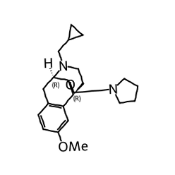 COc1ccc2c(c1)[C@]13CCN(CC4CC4)[C@H](C2)C1OCC(N1CCCC1)C3